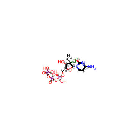 C[C@@]1(Cl)[C@H](O)[C@@H](COP(=O)(O)OP(=O)(O)OP(=O)(O)O)O[C@H]1n1ccc(N)nc1=O